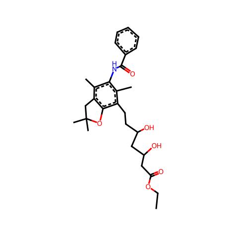 CCOC(=O)CC(O)CC(O)CCc1c(C)c(NC(=O)c2ccccc2)c(C)c2c1OC(C)(C)C2